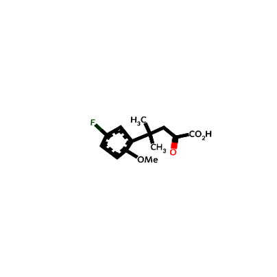 COc1ccc(F)cc1C(C)(C)CC(=O)C(=O)O